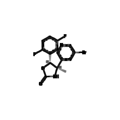 C[C@]1(c2cncc(Br)c2)NC(=O)O[C@@H]1c1cc(F)ccc1F